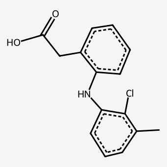 Cc1cccc(Nc2ccccc2CC(=O)O)c1Cl